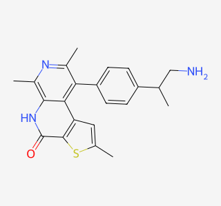 Cc1cc2c(s1)c(=O)[nH]c1c(C)nc(C)c(-c3ccc(C(C)CN)cc3)c12